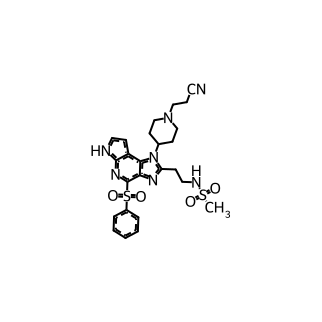 CS(=O)(=O)NCCc1nc2c(S(=O)(=O)c3ccccc3)nc3[nH]ccc3c2n1C1CCN(CCC#N)CC1